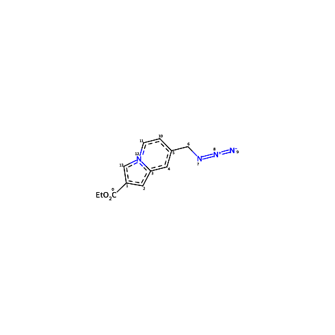 CCOC(=O)c1cc2cc(CN=[N+]=[N-])ccn2c1